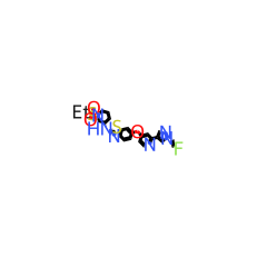 CCS(=O)(=O)N1CCC[C@H](Nc2nc3ccc(Oc4ccnc(-c5cnn(CCF)c5)c4)cc3s2)C1